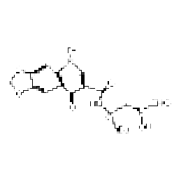 CCCC[C@H](CN(O)C=O)NC(=O)c1cn(CC)c2cc3c(cc2c1=O)OCO3